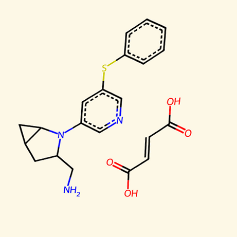 NCC1CC2CC2N1c1cncc(Sc2ccccc2)c1.O=C(O)C=CC(=O)O